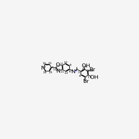 Oc1c(Br)cc(/C=N/c2ccc3oc(-c4ccncc4)nc3c2)c(O)c1Br